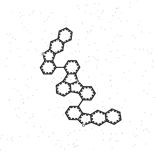 c1ccc2cc3c(cc2c1)oc1cccc(-c2cccc4c2c2cccc5c6c(-c7cccc8oc9cc%10ccccc%10cc9c78)cccc6n4c25)c13